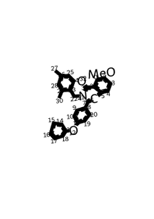 COc1cccc2cc(-c3ccc(Oc4ccccc4)cc3)n(Cc3ccc(C)cc3C)c(=O)c12